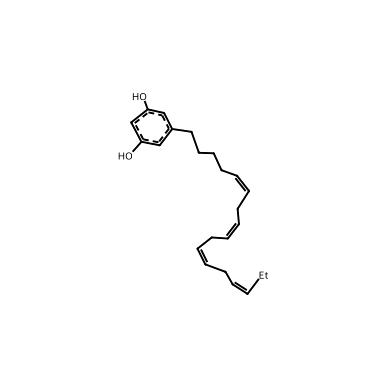 CC/C=C\C/C=C\C/C=C\C/C=C\CCCCc1cc(O)cc(O)c1